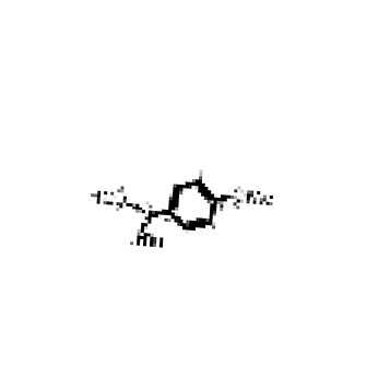 COc1ccc(N(C(=O)O)C(C)(C)C)cc1